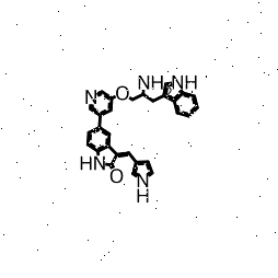 NC(COc1cncc(-c2ccc3c(c2)C(=Cc2cc[nH]c2)C(=O)N3)c1)Cc1c[nH]c2ccccc12